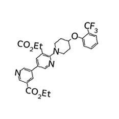 CCOC(=O)c1cncc(-c2cnc(N3CCC(Oc4ccccc4C(F)(F)F)CC3)c(C(=O)OCC)c2)c1